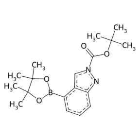 CC(C)(C)OC(=O)n1cc2c(B3OC(C)(C)C(C)(C)O3)cccc2n1